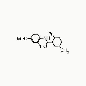 COc1ccc(NC(=O)C2CC(C)CCC2C(C)C)c(I)c1